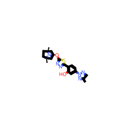 Cc1cnn(-c2ccc(-c3nnc(O[C@H]4C[C@]5(C)CC[C@](C)(C4)N5C)s3)c(O)c2)n1